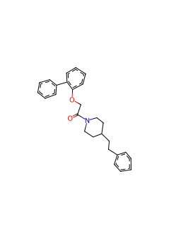 O=C(COc1ccccc1-c1ccccc1)N1CCC(CCc2ccccc2)CC1